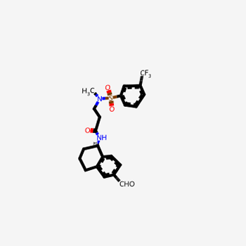 CN(CCC(=O)N[C@@H]1CCCc2cc(C=O)ccc21)S(=O)(=O)c1cccc(C(F)(F)F)c1